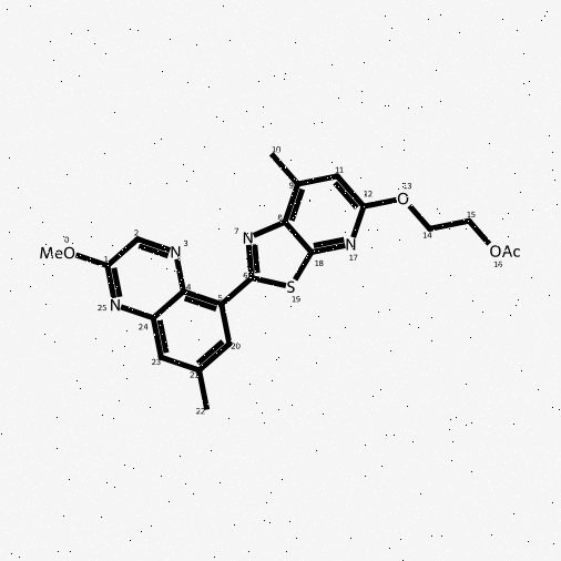 COc1cnc2c(-c3nc4c(C)cc(OCCOC(C)=O)nc4s3)cc(C)cc2n1